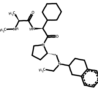 CCN(C[C@@H]1CCCN1C(=O)[C@@H](NC(=O)[C@H](C)NC)C1CCCCC1)C1CCc2ccccc2C1